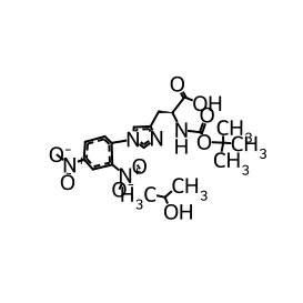 CC(C)(C)OC(=O)N[C@@H](Cc1cn(-c2ccc([N+](=O)[O-])cc2[N+](=O)[O-])cn1)C(=O)O.CC(C)O